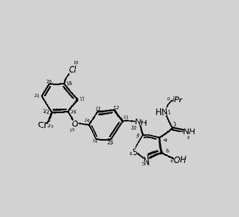 CC(C)NC(=N)c1c(O)nsc1Nc1ccc(Oc2cc(Cl)ccc2Cl)cc1